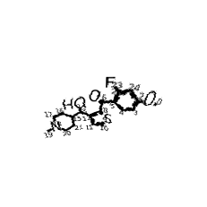 COc1ccc(C(=O)c2sccc2C(O)C2CCN(C)CC2)c(F)c1